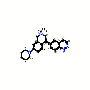 CN1Cc2cc(N3CCCCC3)ccc2C(c2ccc3nnccc3c2)C1